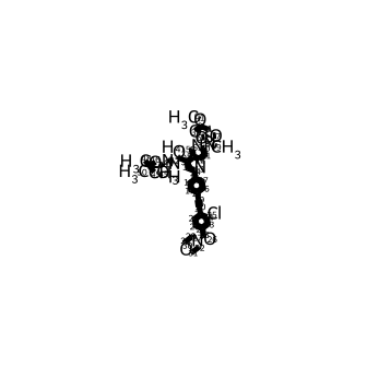 COC(=O)CS(=O)(=O)N(C)c1cc2nc(-c3ccc(C#Cc4ccc(C(=O)N5CCOCC5)cc4Cl)cc3)cc(C(=O)NNC(=O)OC(C)(C)C)c2cn1